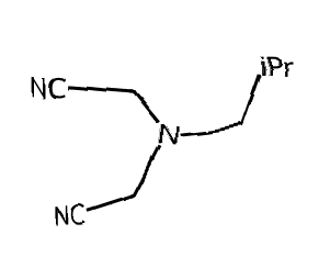 CC(C)CN(CC#N)CC#N